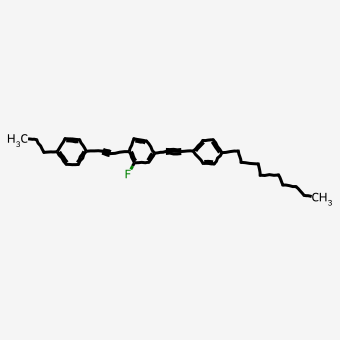 CCCCCCCCCc1ccc(C#Cc2ccc(C#Cc3ccc(CCC)cc3)c(F)c2)cc1